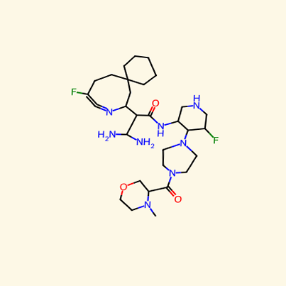 CN1CCOCC1C(=O)N1CCN(C2C(F)CNCC2NC(=O)C(C(N)N)C2CC3(CCCCC3)CCC(F)=C=N2)CC1